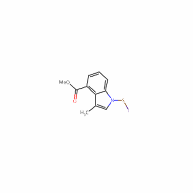 COC(=O)c1cccc2c1c(C)cn2SI